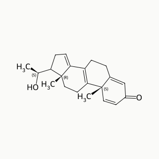 C[C@H](O)C1CC=C2C3=C(CC[C@@]21C)[C@@]1(C)C=CC(=O)C=C1CC3